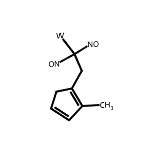 CC1=C(C[C]([W])(N=O)N=O)CC=C1